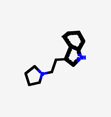 [c]1cccc2[nH]cc(CCN3CCCC3)c12